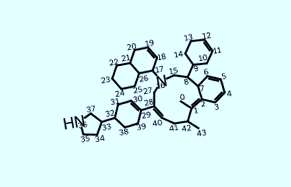 C/C1=C2/C=CC=CC2C(C2CC=CCC2)CN(C2C=CCC3CCCCC32)C/C(C2=CCC(C3CCNC3)CC2)=C\CC1C